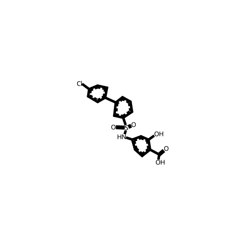 O=C(O)c1ccc(NS(=O)(=O)c2cccc(-c3ccc(Cl)cc3)c2)cc1O